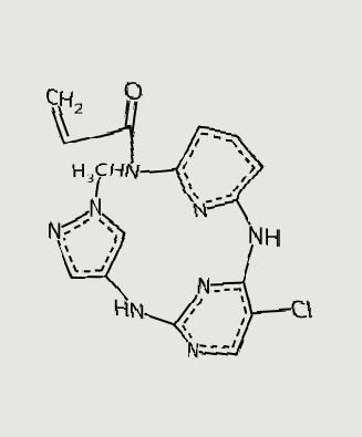 C=CC(=O)Nc1cccc(Nc2nc(Nc3cnn(C)c3)ncc2Cl)n1